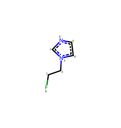 FCCn1ccnc1